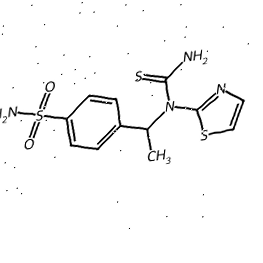 CC(c1ccc(S(N)(=O)=O)cc1)N(C(N)=S)c1nccs1